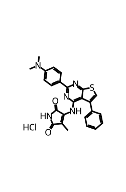 CC1=C(Nc2nc(-c3ccc(N(C)C)cc3)nc3scc(-c4ccccc4)c23)C(=O)NC1=O.Cl